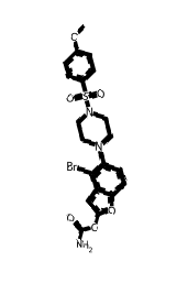 COc1ccc(S(=O)(=O)N2CCN(c3ccc4oc(OC(N)=O)cc4c3Br)CC2)cc1